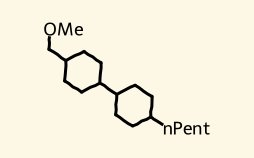 CCCCCC1CCC(C2CCC(COC)CC2)CC1